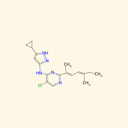 CC/C(C)=C/C=C(\C)c1ncc(Cl)c(Nc2cc(C3CC3)[nH]n2)n1